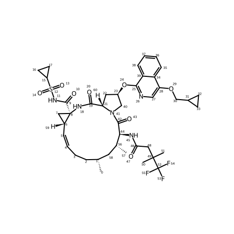 C[C@@H]1CC/C=C\[C@@H]2C[C@@]2(C(=O)NS(=O)(=O)C2CC2)NC(=O)[C@@H]2C[C@@H](Oc3ncc(OCC4CC4)c4ccccc34)CN2C(=O)[C@@H](NC(=O)CC(C)(C)C(F)(F)F)[C@H](C)C1